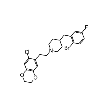 Fc1ccc(Br)c(CC2CCN(CCc3cc4c(cc3Cl)OCCO4)CC2)c1